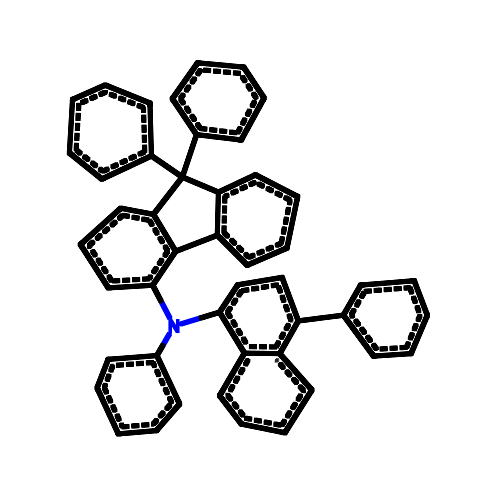 c1ccc(-c2ccc(N(c3ccccc3)c3cccc4c3-c3ccccc3C4(c3ccccc3)c3ccccc3)c3ccccc23)cc1